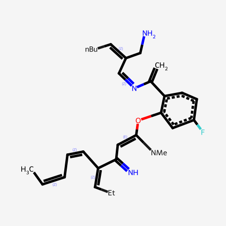 C=C(/N=C\C(=C/CCCC)CN)c1ccc(F)cc1O/C(=C/C(=N)C(/C=C\C=C/C)=C\CC)NC